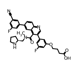 CN(C[C@@H]1CCCN1)C(=O)c1c(-c2cc(F)cc(OCCCC(=O)O)c2)cnc2ccc(-c3cc(F)cc(C#N)c3)cc12